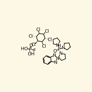 Cl[C@H]1[C@H](Cl)[C@@H](Cl)[C@@H](Cl)[C@H](Cl)[C@H]1Cl.O=P(O)(O)F.c1ccc2c(c1)nnn2O[PH](N1CCCC1)(N1CCCC1)N1CCCC1